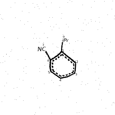 CC(C)c1[c]cccc1C#N